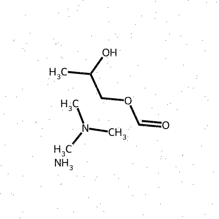 CC(O)COC=O.CN(C)C.N